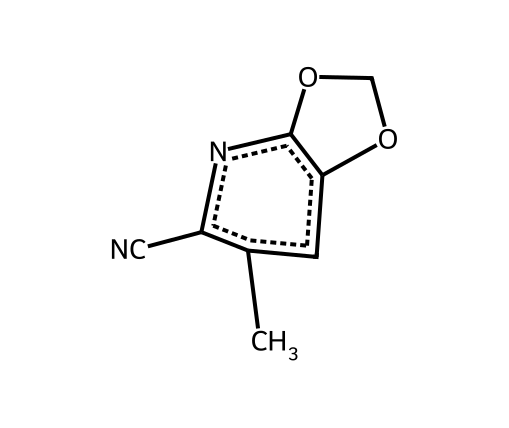 Cc1cc2c(nc1C#N)OCO2